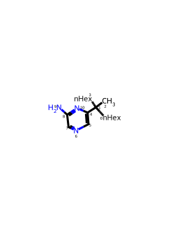 CCCCCCC(C)(CCCCCC)c1cncc(N)n1